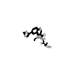 CCNc1c(C(=O)NCC(F)C(C)(C)O)cnc2ccc(-c3cncs3)cc12